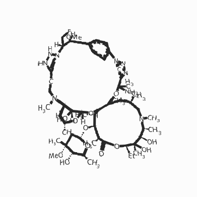 CC[C@H]1OC(=O)[C@H](C)[C@@H](O[C@H]2C[C@@](C)(OC)[C@@H](O)[C@H](C)O2)[C@H](C)[C@H]2O[C@@H]3O[C@H](C)C[C@@H]([C@H]3O)N(C)CCC3=CN(NN3)[C@H](CF)[C@H](OC)c3ccc(cc3)-n3cc(nn3)C(C)(N)O[C@]2(C)C[C@@H](C)CN(C)[C@H](C)[C@@H](O)[C@]1(C)O